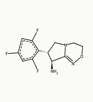 N[C@@H]1C2=NOCCN2C[C@H]1c1c(F)cc(F)cc1F